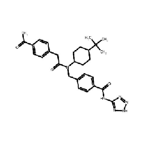 CC(=O)c1ccc(CC(=O)N(Cc2ccc(C(=O)Nc3nn[nH]n3)cc2)C2CCC(C(C)(C)C)CC2)cc1